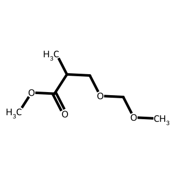 COCOCC(C)C(=O)OC